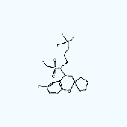 CCS(=O)(=O)N(CCCC(F)(F)F)C1CC2(CCCC2)Oc2ccc(F)cc21